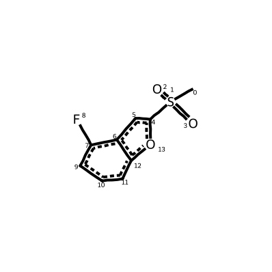 CS(=O)(=O)c1cc2c(F)cccc2o1